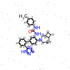 Cc1ccc(NC(=O)Nc2cc(-c3ccccc3-c3nnn[nH]3)ccc2N(CC(C)C)CC2CCC2)cc1